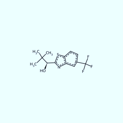 CC(C)(C)[C@H](O)c1nc2cc(C(F)(F)F)ccc2s1